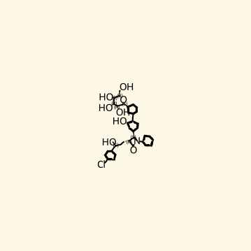 O=C1[C@H](CC[C@H](O)c2ccc(Cl)cc2)[C@@H](c2ccc(-c3cccc([C@@H]4O[C@H](CO)[C@@H](O)[C@H](O)[C@H]4O)c3)c(O)c2)N1c1ccccc1